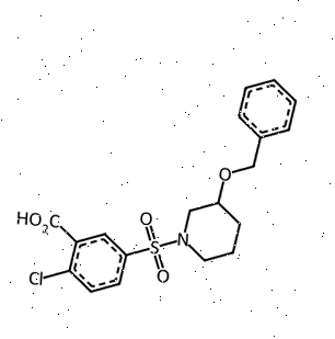 O=C(O)c1cc(S(=O)(=O)N2CCCC(OCc3ccccc3)C2)ccc1Cl